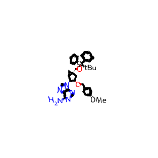 COc1ccc(CO[C@H]2C[C@]3(CO[Si](c4ccccc4)(c4ccccc4)C(C)(C)C)CC3[C@H]2n2cnc3c(N)ncnc32)cc1